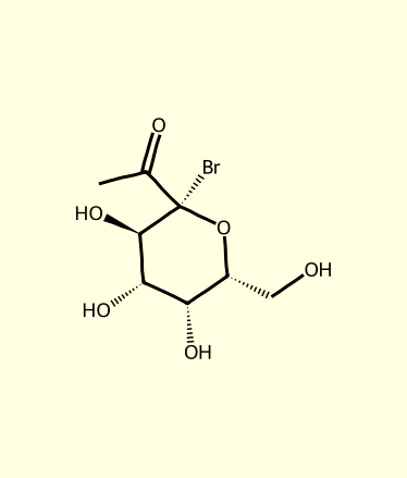 CC(=O)[C@@]1(Br)O[C@H](CO)[C@H](O)[C@H](O)[C@H]1O